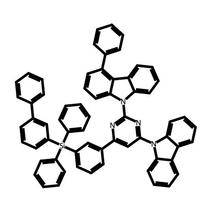 c1ccc(-c2cccc([Si](c3ccccc3)(c3ccccc3)c3cccc(-c4cc(-n5c6ccccc6c6ccccc65)nc(-n5c6ccccc6c6c(-c7ccccc7)cccc65)n4)c3)c2)cc1